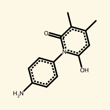 Cc1cc(O)n(-c2ccc(N)cc2)c(=O)c1C